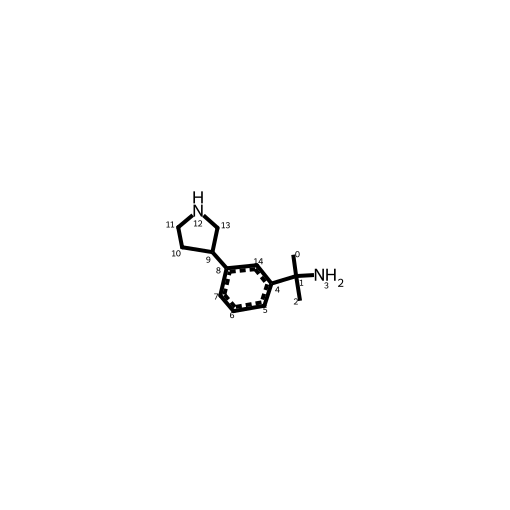 CC(C)(N)c1cccc(C2CCNC2)c1